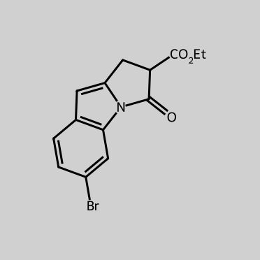 CCOC(=O)C1Cc2cc3ccc(Br)cc3n2C1=O